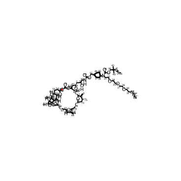 C=C1C2C[C@@H]3O[C@H](C[C@H](O)CNC(=O)OCc4ccc(N(CCOCCOCCOCCN=[N+]=[N-])C(=O)OCC(C)(C)SSC)cc4)C[C@H]3CC(=O)C[C@H]3CC[C@@H]4O[C@@H]5[C@@H]6[C@@H](O[C@@]7(CC[C@H]8CC(=C)[C@H](CCC(C[C@H]1C)O2)O8)C[C@H]1OC6(O7)[C@H]51)[C@H]4O3